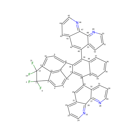 FC1(F)c2ccc3c4c(ccc(c24)C1(F)F)-c1c-3c(-c2cc3cccnc3c3ncccc23)c2ccccc2c1-c1cc2cccnc2c2ncccc12